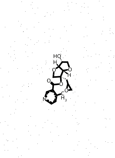 Cc1ccncc1C(=O)O[C@@]1(CC2CO2)CO[C@@H]2[C@H](O)CO[C@@H]21